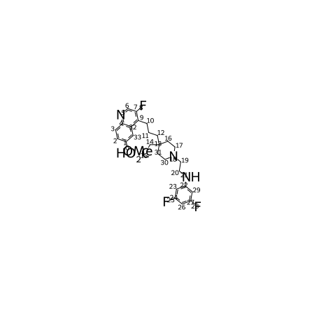 COc1ccc2ncc(F)c(CCCC3(CC(=O)O)CCN(CCNc4cc(F)cc(F)c4)CC3)c2c1